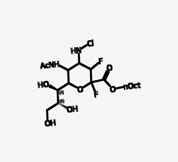 CCCCCCCCOC(=O)C1(F)OC([C@H](O)[C@H](O)CO)C(NC(C)=O)C(NCl)C1F